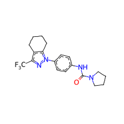 O=C(Nc1ccc(-n2nc(C(F)(F)F)c3c2CCCC3)cc1)N1CCCC1